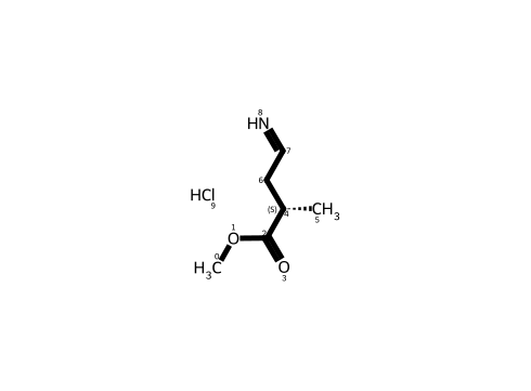 COC(=O)[C@@H](C)CC=N.Cl